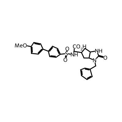 COc1ccc(-c2ccc(S(=O)(=O)NC(C(=O)O)C3CC4NC(=O)N(Cc5ccccc5)C4C3)cc2)cc1